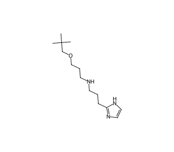 CC(C)(C)COCCCNCCCc1ncc[nH]1